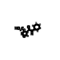 O=C(Nc1ccccc1)c1conc1C(=O)O